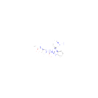 C=CC(=O)Nc1cc(C(=O)Nc2nc3cccc(C)c3n2[C@@H]2CCCCNC2)cs1